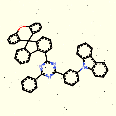 c1ccc(-c2nc(-c3cccc(-n4c5ccccc5c5ccccc54)c3)nc(-c3cccc4c3-c3ccccc3C43c4ccccc4Oc4ccccc43)n2)cc1